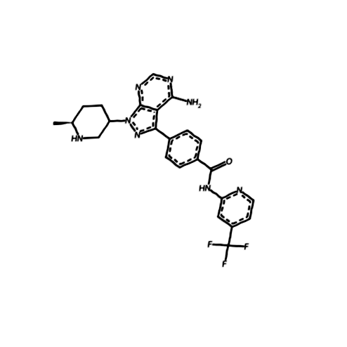 C[C@H]1CCC(n2nc(-c3ccc(C(=O)Nc4cc(C(F)(F)F)ccn4)cc3)c3c(N)ncnc32)CN1